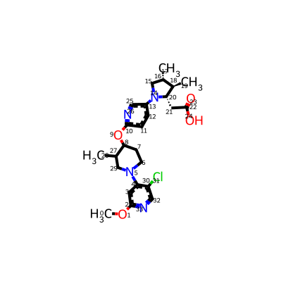 COc1cc(N2CCC(Oc3ccc(N4C[C@H](C)[C@@H](C)[C@@H]4CC(=O)O)cn3)C(C)C2)c(Cl)cn1